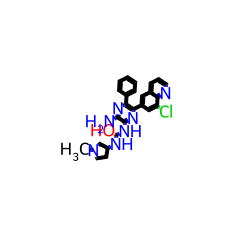 CN1CCC(NC(O)Nc2nc(-c3cc(Cl)c4ncccc4c3)c(-c3ccccc3)nc2N)C1